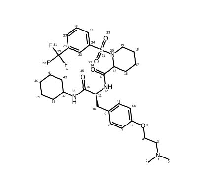 CN(C)CCOc1ccc(C[C@H](NC(=O)C2CCCCN2S(=O)(=O)c2cccc(C(F)(F)F)c2)C(=O)NC2CCCCC2)cc1